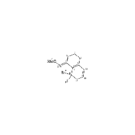 CON=C1CCCC2=C1C(F)(Br)CC=C2